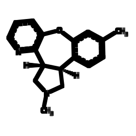 Cc1ccc2c(c1)Oc1cccnc1[C@H]1CN(C)C[C@H]21